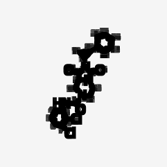 O=C(Nc1cccc(Cl)c1Cl)N1CCN2C(=O)N([C@@H]3C[C@H]3c3ccccc3)C(=O)C2C1